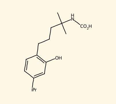 CC(C)c1ccc(CCCC(C)(C)NC(=O)O)c(O)c1